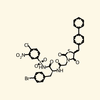 O=C(CN1C(=O)SC(=Cc2ccc(-c3ccccc3)cc2)C1=O)N[C@@H](Cc1ccc(Br)cc1)C(=O)NS(=O)(=O)c1ccc(Cl)c([N+](=O)[O-])c1